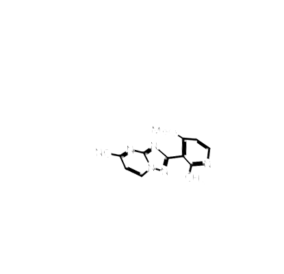 COc1ccnc(C)c1-c1nc2nc(C#N)ccn2n1